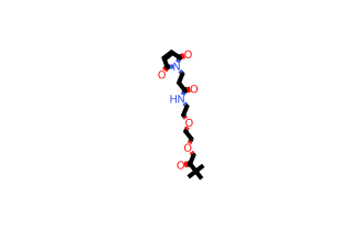 CC(C)(C)C(=O)COCCOCCNC(=O)CCN1C(=O)C=CC1=O